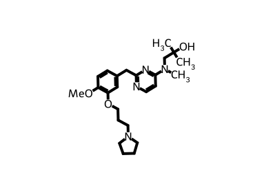 COc1ccc(Cc2nccc(N(C)CC(C)(C)O)n2)cc1OCCCN1CCCC1